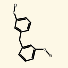 CCOc1cccc(Cc2cccc(OCC)c2)c1